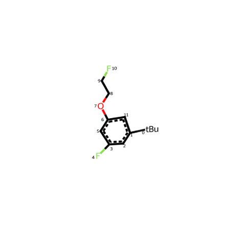 CC(C)(C)c1cc(F)cc(OCCF)c1